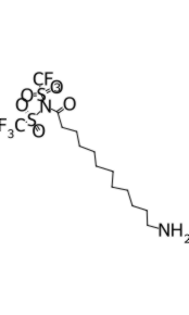 NCCCCCCCCCCCC(=O)N(S(=O)(=O)C(F)(F)F)S(=O)(=O)C(F)(F)F